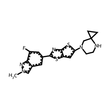 Cn1cc2cc(-c3nc4sc(N5CCNC6(CC6)C5)cc4s3)cc(F)c2n1